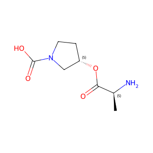 C[C@H](N)C(=O)O[C@H]1CCN(C(=O)O)C1